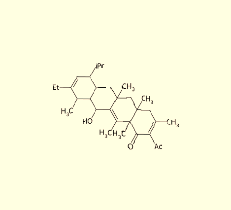 CCC1=CC(C(C)C)C2CC3(C)CC4(C)CC(C)=C(C(C)=O)C(=O)C4(C)C(C)=C3C(O)C2C1C